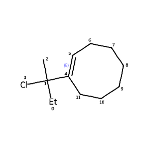 CCC(C)(Cl)/C1=C/CCCCCC1